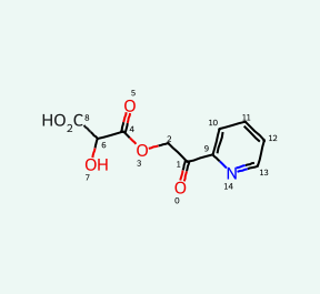 O=C(COC(=O)C(O)C(=O)O)c1ccccn1